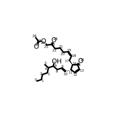 CCCCC(C)C(O)C/C=C/[C@H]1C=CC(=O)[C@@H]1C/C=C\CCCC(=O)COC(C)=O